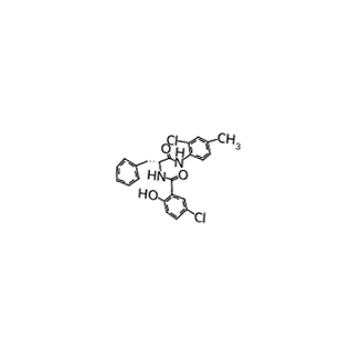 Cc1ccc(NC(=O)[C@@H](Cc2ccccc2)NC(=O)c2cc(Cl)ccc2O)c(Cl)c1